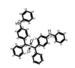 O=S(=O)(C(c1ccccc1)c1ccc(Nc2ccccc2)cc1)C(c1ccccc1)c1ccc(Nc2ccccc2)cc1